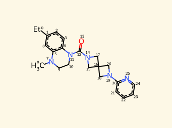 CCc1ccc2c(c1)N(C)CCN2C(=O)N1CC2(C1)CN(c1ccccn1)C2